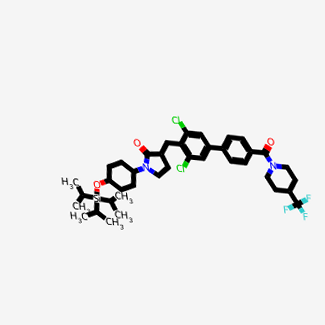 CC(C)[Si](OC1CCC(N2CCC(Cc3c(Cl)cc(-c4ccc(C(=O)N5CCC(C(F)(F)F)CC5)cc4)cc3Cl)C2=O)CC1)(C(C)C)C(C)C